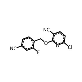 N#Cc1ccc(COc2nc(Cl)ccc2C#N)c(F)c1